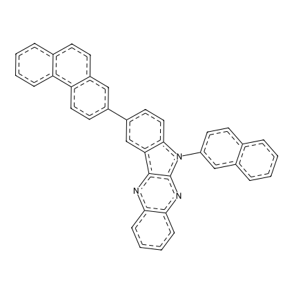 c1ccc2cc(-n3c4ccc(-c5ccc6c(ccc7ccccc76)c5)cc4c4nc5ccccc5nc43)ccc2c1